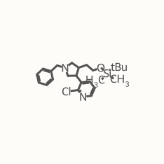 CC(C)(C)[Si](C)(C)OCCC1CN(Cc2ccccc2)CC1c1cccnc1Cl